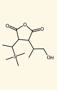 CC(CO)C1C(=O)OC(=O)C1C(C)[Si](C)(C)C